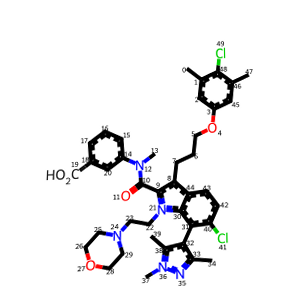 Cc1cc(OCCCc2c(C(=O)N(C)c3cccc(C(=O)O)c3)n(CCN3CCOCC3)c3c(-c4c(C)nn(C)c4C)c(Cl)ccc23)cc(C)c1Cl